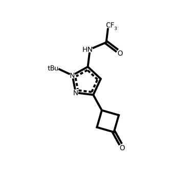 CC(C)(C)n1nc(C2CC(=O)C2)cc1NC(=O)C(F)(F)F